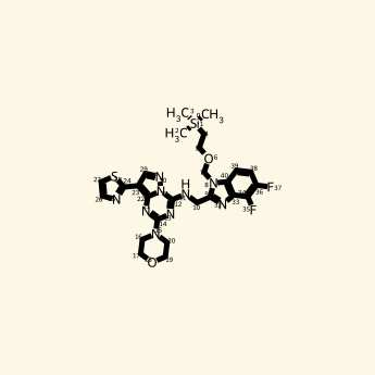 C[Si](C)(C)CCOCn1c(CNc2nc(N3CCOCC3)nc3c(-c4nccs4)cnn23)nc2c(F)c(F)ccc21